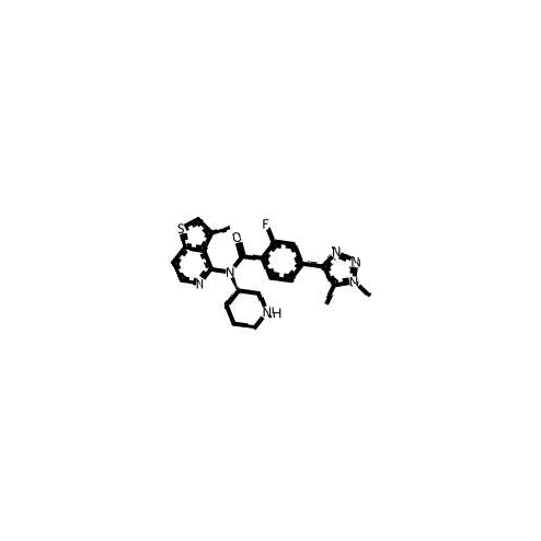 Cc1csc2ccnc(N(C(=O)c3ccc(-c4nnn(C)c4C)cc3F)[C@@H]3CCCNC3)c12